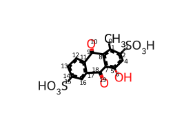 Cc1c(S(=O)(=O)O)cc(O)c2c1C(=O)c1ccc(S(=O)(=O)O)cc1C2=O